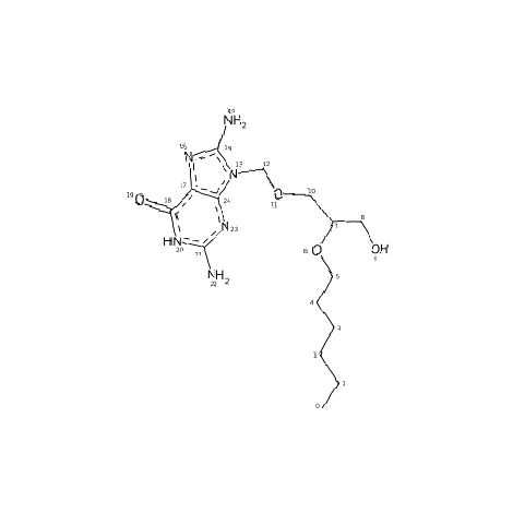 CCCCCCOC(CO)COCn1c(N)nc2c(=O)[nH]c(N)nc21